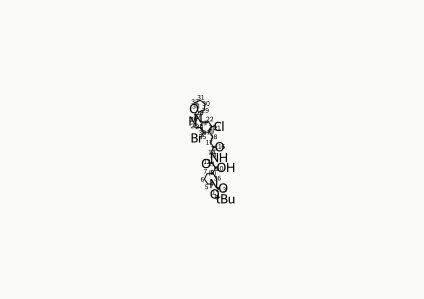 CC(C)(C)OC(=O)N1CCC[C@@H](C(O)C(=O)NCC(=O)CCc2c(Cl)cc3c(cnn3C3CCCCO3)c2Br)C1